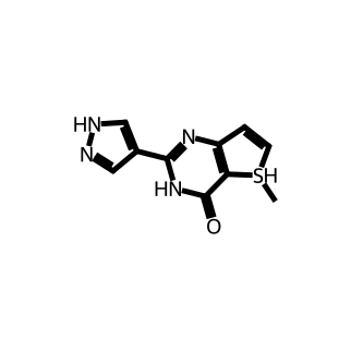 C[SH]1C=Cc2nc(-c3cn[nH]c3)[nH]c(=O)c21